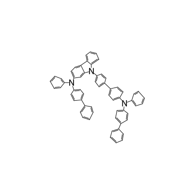 c1ccc(-c2ccc(N(c3ccccc3)c3ccc(-c4ccc(-n5c6ccccc6c6ccc(N(c7ccccc7)c7ccc(-c8ccccc8)cc7)cc65)cc4)cc3)cc2)cc1